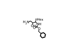 CCCCCCC(NC(=O)OCc1ccccc1)C(O)CN